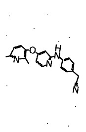 Cc1ccc(Oc2ccnc(Nc3ccc(CC#N)cc3)c2)c(C)n1